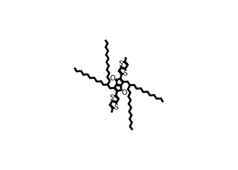 CCCCCCCCCCCCC(CCCCCCCCCC)Cc1c(-c2cc3sc(C)cc3s2)c(=O)c2c(CC(CCCCCCCCCC)CCCCCCCCCCCC)c(-c3cc4sc(C)cc4s3)c(=O)c1=2